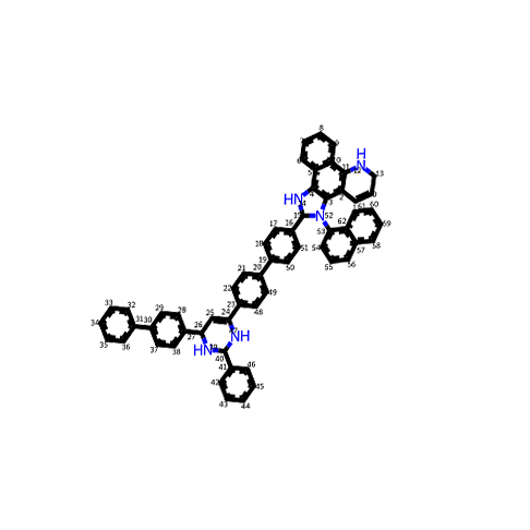 C1=Cc2c3c(c4ccccc4c2NC1)NC(c1ccc(-c2ccc(C4=CC(c5ccc(-c6ccccc6)cc5)NC(c5ccccc5)N4)cc2)cc1)N3c1cccc2ccccc12